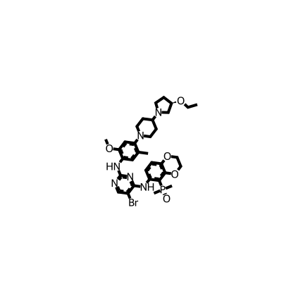 CCO[C@H]1CCN(C2CCN(c3cc(OC)c(Nc4ncc(Br)c(Nc5ccc6c(c5P(C)(C)=O)OCCO6)n4)cc3C)CC2)C1